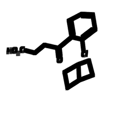 C1CC2CCC12.O=C(O)CCC(=O)c1ccccc1Cl